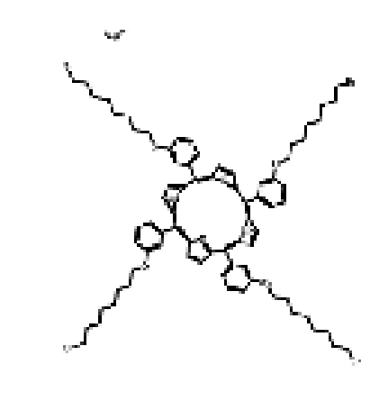 BrCCCCCCCCOc1cccc(-c2c3nc(c(-c4cccc(OCCCCCCCCBr)c4)c4ccc([nH]4)c(-c4cccc(OCCCCCCCCBr)c4)c4nc(c(-c5cccc(OCCCCCCCCBr)c5)c5ccc2[nH]5)C=C4)C=C3)c1.[Mg+2]